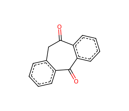 O=C1Cc2ccccc2C(=O)c2ccccc21